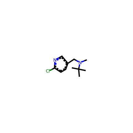 CN(Cc1ccc(Cl)nc1)C(C)(C)C